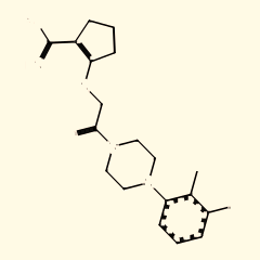 CC(=O)C(=N)C1=C(NCC(=O)N2CCN(c3cccc(F)c3C)CC2)CCC1